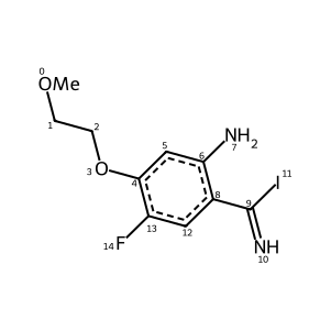 COCCOc1cc(N)c(C(=N)I)cc1F